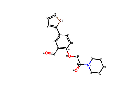 O=Cc1cc(-c2cccs2)ccc1OCC(=O)N1CCCCC1